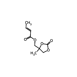 CC=CC(=O)OCC1(C)COC(=O)O1